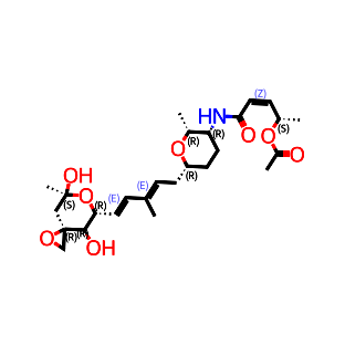 CC(=O)O[C@@H](C)/C=C\C(=O)N[C@@H]1CC[C@H](C/C=C(C)/C=C/[C@H]2O[C@](C)(O)C[C@@]3(CO3)[C@@H]2O)O[C@@H]1C